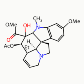 CC[C@]12C=CCN3CC[C@@]4(c5ccc(OC)cc5N(C)C4C(O)(C(=O)OC)[C@@H]1OC(C)=O)[C@@H]32